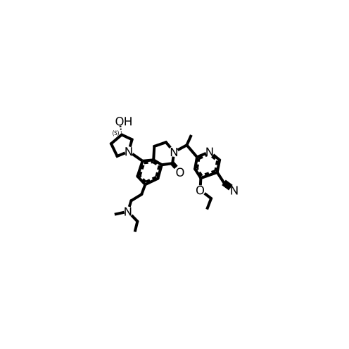 CCOc1cc(C(C)N2CCc3c(cc(CCN(C)CC)cc3N3CC[C@H](O)C3)C2=O)ncc1C#N